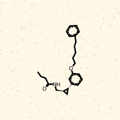 CCCC(=O)NC[C@@H]1C[C@H]1c1cccc(OCCCCCc2ccccc2)c1